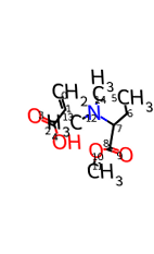 C=CC(=O)O.CCC(C(=O)OC)N(C)C